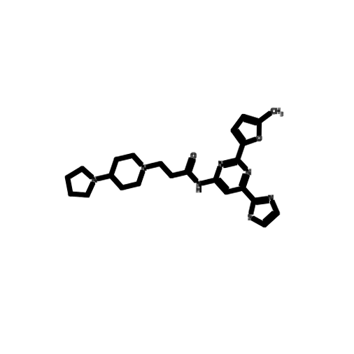 Cc1ccc(-c2nc(NC(=O)CCN3CCC(N4CCCC4)CC3)cc(-c3nccs3)n2)o1